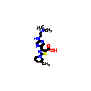 C[C@@H]1CCCN(c2nc(-c3cnc(NCCN(C)C)cn3)c(C(=O)O)s2)C1